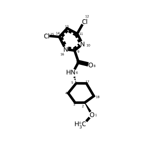 CO[C@H]1CC[C@H](NC(=O)c2nc(Cl)cc(Cl)n2)CC1